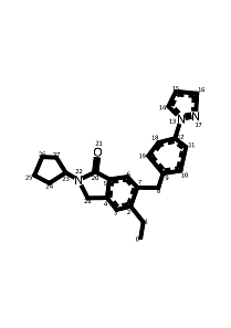 CCc1cc2c(cc1Cc1ccc(-n3cccn3)cc1)C(=O)N(C1CCCC1)C2